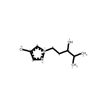 CC(C)C(O)CCn1cc(Cl)cn1